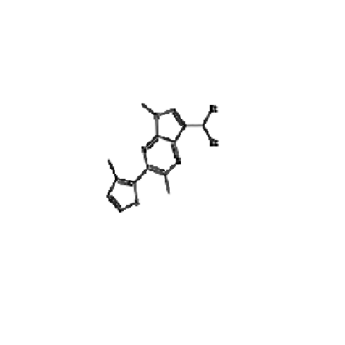 CCC(CC)c1cn(C)c2nc(-c3sccc3C)c(C)nc12